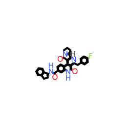 O=C(N[C@@H]1CCc2ccccc21)c1ccc2c(c1)[nH]c(=O)c1c(Cc3ccc(F)cc3)nc3c(c12)C(=O)N1CCC[C@@H]31